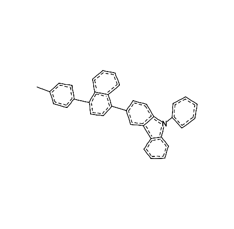 Cc1ccc(-c2ccc(-c3ccc4c(c3)c3ccccc3n4-c3ccccc3)c3ccccc23)cc1